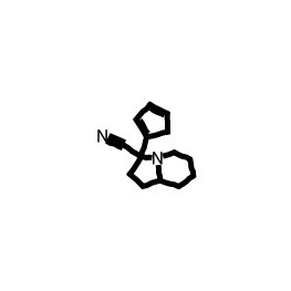 N#CC1(C2=CC=CC2)CCC2CCCCN21